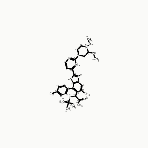 COC1CN(c2nccc(-c3nc4cc(C)c([C@H](OC(C)(C)C)C(C)=O)c(-c5ccc(Cl)cc5)c4s3)n2)CCN1OC